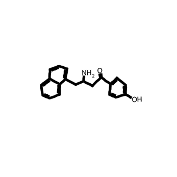 NC(CC(=O)c1ccc(O)cc1)Cc1cccc2ccccc12